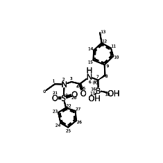 CCN(CC(=O)N[C@@H](Cc1ccc(C)cc1)B(O)O)S(=O)(=O)c1ccccc1